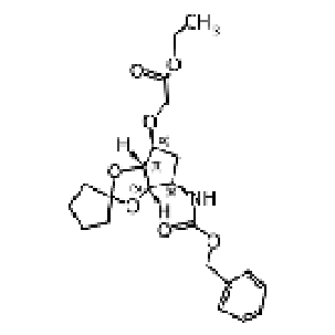 CCOC(=O)CO[C@H]1C[C@@H](NC(=O)OCc2ccccc2)[C@@H]2OC3(CCCC3)O[C@@H]21